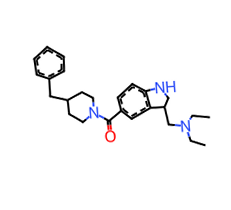 CCN(CC)CC1CNc2ccc(C(=O)N3CCC(Cc4ccccc4)CC3)cc21